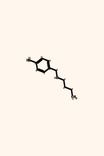 CCCCOCc1ccc(S)cc1